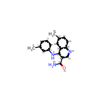 Cc1cccc(Nc2c(C(N)=O)cnc3ccc(C)cc23)c1